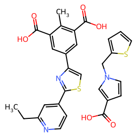 CCc1cc(-c2nc(-c3cc(C(=O)O)c(C)c(C(=O)O)c3)cs2)ccn1.O=C(O)c1ccn(Cc2cccs2)c1